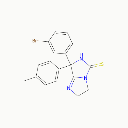 Cc1ccc(C2(c3cccc(Br)c3)NC(=S)N3CCN=C32)cc1